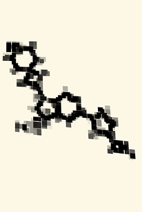 Cc1cnn(-c2ccc3c(c2)CCC3N2CC3(CCNCC3)C2)c1.Cl.Cl